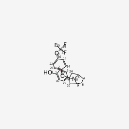 Oc1ccc(N2C3CCC2CC(Oc2ccc(OC(F)(F)F)cc2)C3)cc1